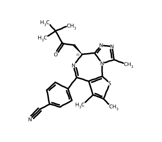 Cc1sc2c(c1C)C(c1ccc(C#N)cc1)=N[C@@H](CC(=O)C(C)(C)C)c1nnc(C)n1-2